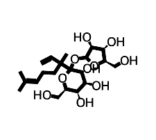 C=CC(C)(CCC=C(C)C)C1(OC2O[C@H](CO)[C@@H](O)[C@@H]2O)O[C@H](CO)[C@@H](O)[C@H](O)[C@H]1O